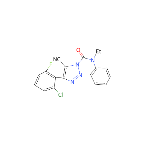 CCN(C(=O)n1nnc(-c2c(F)cccc2Cl)c1C#N)c1ccccc1